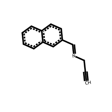 C#CCN=Cc1ccc2ccccc2c1